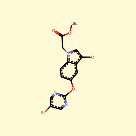 CC(=O)c1cn(CC(=O)OC(C)(C)C)c2ccc(Oc3ncc(Br)cn3)cc12